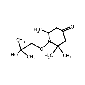 CC1CC(=O)CC(C)(C)N1OCC(C)(C)O